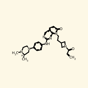 C=CC(=O)N1CC(CCn2c(=O)ccc3cnc(Nc4ccc(N5CCN(C)[C@H](C)C5)cc4)nc32)C1